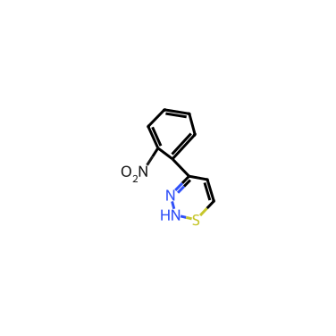 O=[N+]([O-])c1ccccc1C1=NNSC=C1